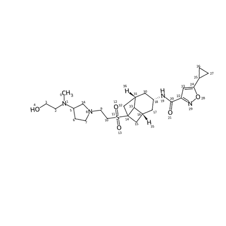 CN(CCO)C1CCN(CCS(=O)(=O)C23C[C@H]4C[C@@H](NC(=O)c5cc(C6CC6)on5)C[C@@H](C2)C43)C1